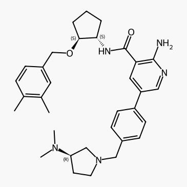 Cc1ccc(CO[C@H]2CCC[C@@H]2NC(=O)c2cc(-c3ccc(CN4CC[C@@H](N(C)C)C4)cc3)cnc2N)cc1C